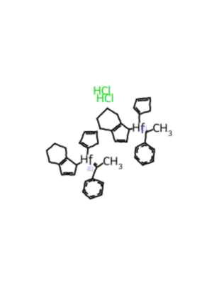 C/[C](c1ccccc1)=[Hf](\[C]1=CC=CC1)[CH]1C=CC2=C1CCCC2.C/[C](c1ccccc1)=[Hf](\[C]1=CC=CC1)[CH]1C=CC2=C1CCCC2.Cl.Cl